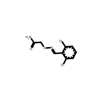 NC(=O)CO/N=C/c1c(Cl)cccc1Cl